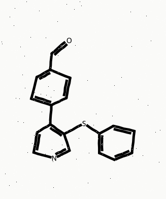 O=Cc1ccc(-c2ccncc2Sc2ccccc2)cc1